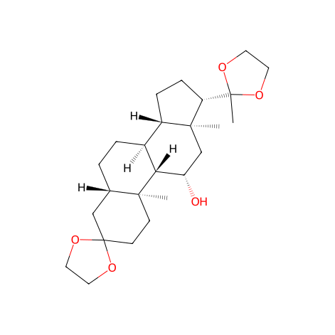 CC1([C@H]2CC[C@H]3[C@@H]4CC[C@H]5CC6(CC[C@]5(C)[C@H]4[C@@H](O)C[C@]23C)OCCO6)OCCO1